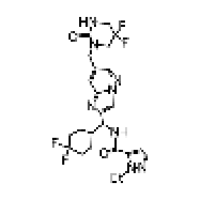 CCn1nccc1C(=O)N[C@H](c1cn2ncc(CN3CC(F)(F)CNC3=O)cc2n1)C1CCC(F)(F)CC1